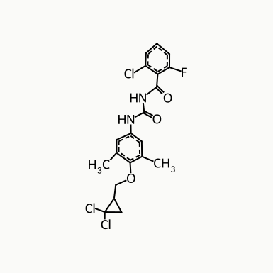 Cc1cc(NC(=O)NC(=O)c2c(F)cccc2Cl)cc(C)c1OCC1CC1(Cl)Cl